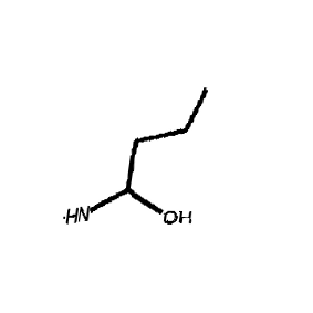 CCCC([NH])O